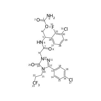 NC(=O)OCC(NC(=O)Cn1nc(-c2ccc(Cl)cc2)n(CCC(F)(F)F)c1=O)c1cccc(Cl)c1F